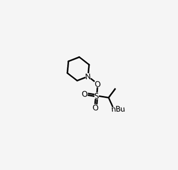 CCCCC(C)S(=O)(=O)ON1CCCCC1